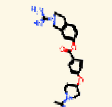 CC(=N)N1CCC(Oc2ccc(C(=O)Oc3ccc4c(c3)CN(C(=N)N)CC4)cc2)CC1